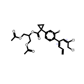 C=C/C=C(\C=C(\Cl)CCl)c1ccc(C2(C(=O)OC(COC(C)=O)COC(C)=O)CC2)cc1F